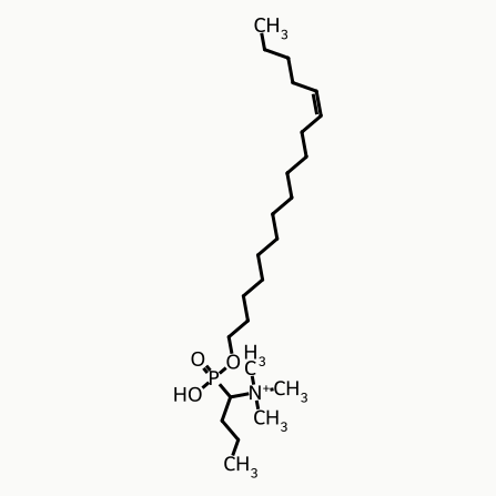 CCCC/C=C\CCCCCCCCCCCOP(=O)(O)C(CCC)[N+](C)(C)C